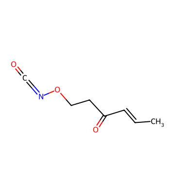 CC=CC(=O)CCON=C=O